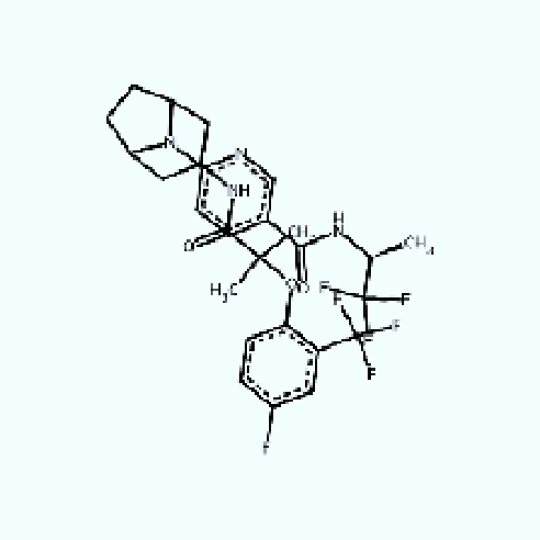 C[C@H](NC(=O)c1ccc(N2C3CCC2CC(NC(=O)C(C)(C)Oc2ccc(F)cc2C(F)(F)F)C3)nc1)C(F)(F)F